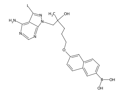 CC(O)(CCCOc1ccc2cc(B(O)O)ccc2c1)Cn1nc(I)c2c(N)ncnc21